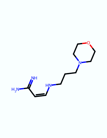 N=C(N)/C=C\NCCCN1CCOCC1